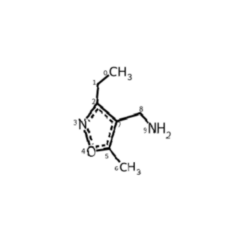 CCc1noc(C)c1CN